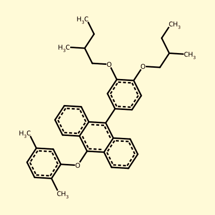 CCC(C)COc1ccc(-c2c3ccccc3c(Oc3cc(C)ccc3C)c3ccccc23)cc1OCC(C)CC